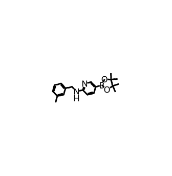 Cc1cccc(CNc2ccc(B3OC(C)(C)C(C)(C)O3)cn2)c1